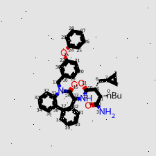 CCCC[C@H](C(N)=O)[C@@H](CC1CC1)C(=O)NC1C(=O)N(Cc2cccc(Oc3ccccc3)c2)c2ccccc2-c2ccccc21